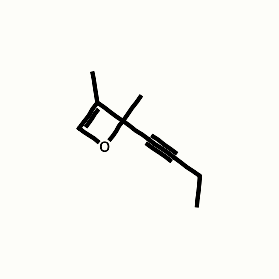 CCC#CC1(C)OC=C1C